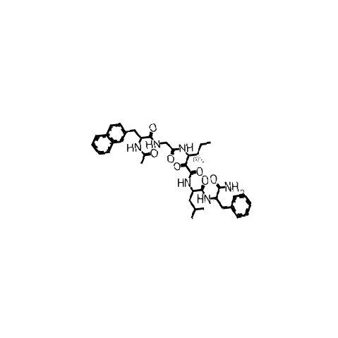 CC[C@H](C)C(NC(=O)CNC(=O)C(Cc1ccc2ccccc2c1)NC(C)=O)C(=O)C(=O)NC(CC(C)C)C(=O)NC(Cc1ccccc1)C(N)=O